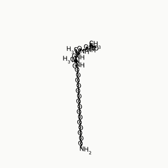 Cn1cc(NC(=O)c2nc(NC(=O)COCCOCCOCCOCCOCCOCCOCCOCCOCCOCCOCCOCCOCCOCCOCCN)cn2C)cc1C(=O)NCCC(=O)Nc1cn(C)c(C=O)n1